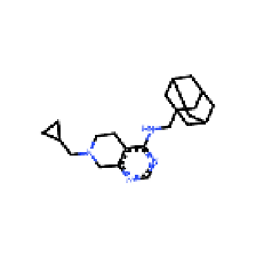 c1nc2c(c(NCC34CC5CC(CC(C5)C3)C4)n1)CCN(CC1CC1)C2